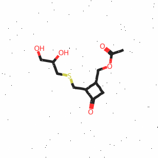 CC(=O)OCC1CC(=O)C1CSCC(O)CO